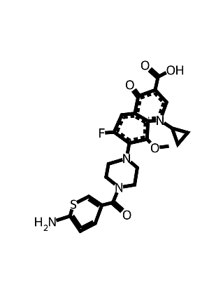 COc1c(N2CCN(C(=O)C3=CSC(N)=C=C3)CC2)c(F)cc2c(=O)c(C(=O)O)cn(C3CC3)c12